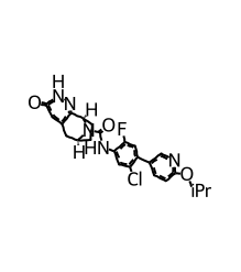 CC(C)Oc1ccc(-c2cc(F)c(NC(=O)N3[C@H]4CC[C@@H]3c3n[nH]c(=O)cc3C4)cc2Cl)cn1